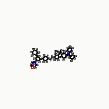 CCC1(CC)c2cc(/C=C/c3ccc(-c4cc(-c5ccccc5)cc(N5CCOCC5)c4)cc3)ccc2-c2ccc(N(c3ccccc3)c3ccccc3)cc21